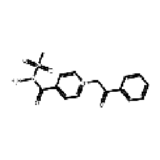 CS(=O)(=O)N(N)C(=O)c1cc[n+](CC(=O)c2ccccc2)cc1